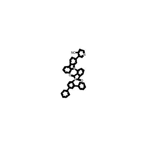 N#Cc1ccncc1-c1ccc2c3ccccc3n(-c3cccc4c3C(=O)N(c3ccc(-c5ccccc5)cc3-c3ccccc3)C4=O)c2c1